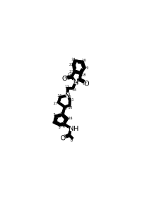 CC(=O)Nc1cccc(C2CCN(CCN3C(=O)c4ccccc4C3=O)CC2)c1